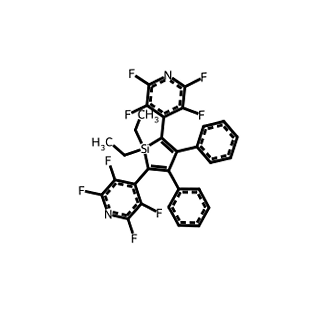 CC[Si]1(CC)C(c2c(F)c(F)nc(F)c2F)=C(c2ccccc2)C(c2ccccc2)=C1c1c(F)c(F)nc(F)c1F